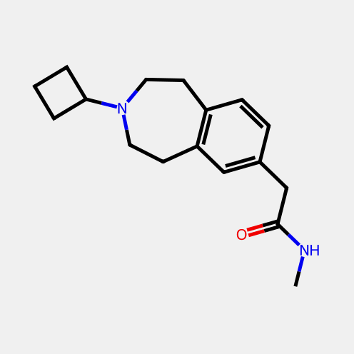 CNC(=O)Cc1ccc2c(c1)CCN(C1CCC1)CC2